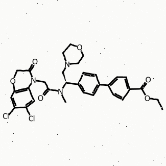 CCOC(=O)c1ccc(-c2ccc([C@H](CN3CCOCC3)N(C)C(=O)CN3C(=O)COc4cc(Cl)c(Cl)cc43)cc2)cc1